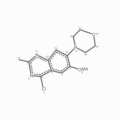 COc1cc2c(Cl)nc(C)nc2cc1N1CCOCC1